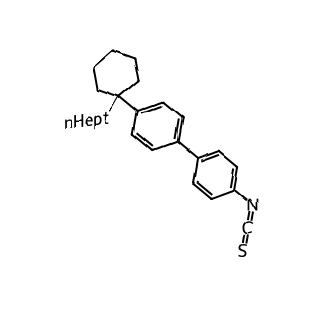 CCCCCCCC1(c2ccc(-c3ccc(N=C=S)cc3)cc2)CCCCC1